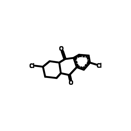 O=C1c2cc(Cl)ccc2C(=O)C2CC(Cl)CCC12